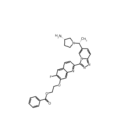 C[C@H](c1ccc2nnc(-c3ccc4cc(F)c(OCCOC(=O)c5ccccc5)cc4n3)n2c1)N1CC[C@H](N)C1